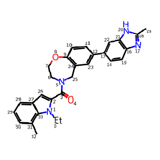 CCn1c(C(=O)N2CCOc3ccc(-c4ccc5nc(C)[nH]c5c4)cc3C2)cc2cccc(C)c21